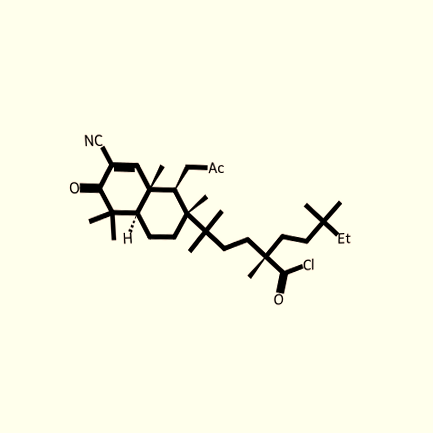 CCC(C)(C)CC[C@@](C)(CCC(C)(C)[C@]1(C)CC[C@H]2C(C)(C)C(=O)C(C#N)=C[C@]2(C)[C@H]1CC(C)=O)C(=O)Cl